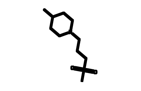 CC1CCN(CCCS(C)(=O)=O)CC1